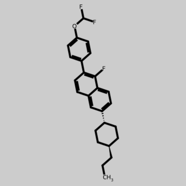 CCC[C@H]1CC[C@H](c2ccc3c(F)c(-c4ccc(OC(F)F)cc4)ccc3c2)CC1